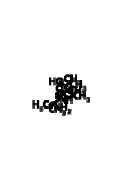 CC(C)CC(N)C(=O)NC(CC(C)C)C(=O)NC(C(=O)O)C(C)C